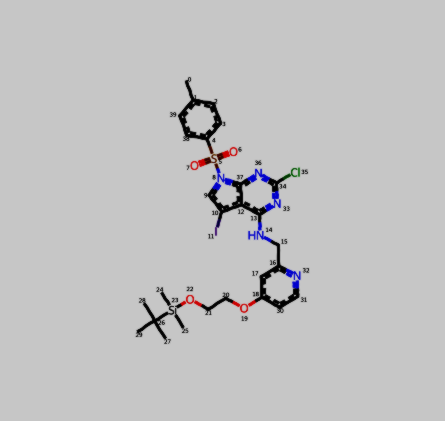 Cc1ccc(S(=O)(=O)n2cc(I)c3c(NCc4cc(OCCO[Si](C)(C)C(C)(C)C)ccn4)nc(Cl)nc32)cc1